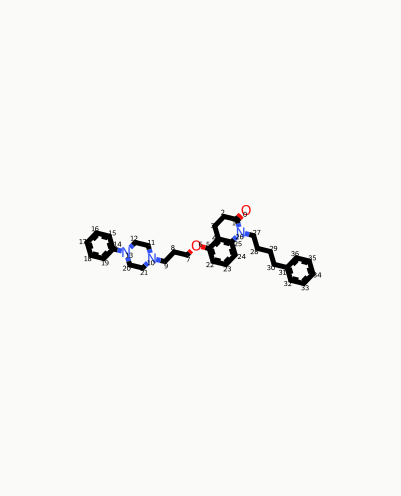 O=C1CCc2c(OCCCN3CCN(c4ccccc4)CC3)cccc2N1CCCCc1ccccc1